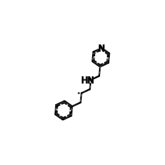 [CH](CNCc1ccncc1)Cc1ccccc1